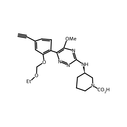 C#Cc1ccc(-c2nnc(N[C@@H]3CCCN(C(=O)O)C3)nc2OC)c(OCOCC)c1